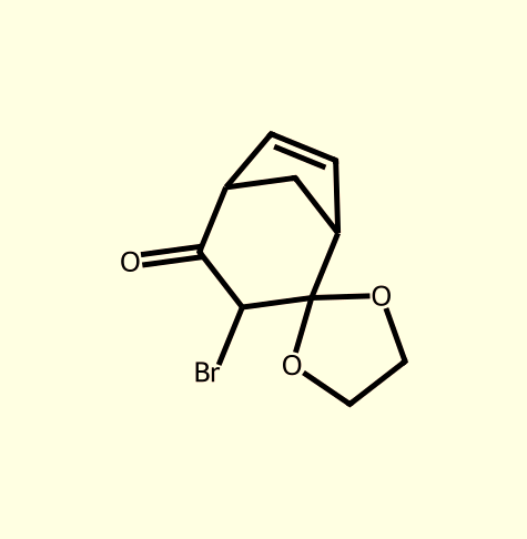 O=C1C2C=CC(C2)C2(OCCO2)C1Br